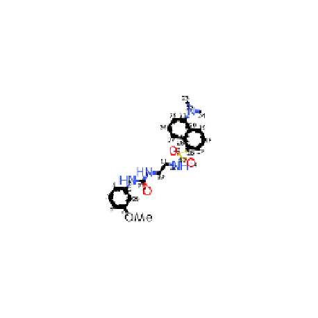 COc1cccc(NC(=O)NCCNS(=O)(=O)c2cccc3c(N(C)C)cccc23)c1